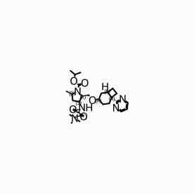 CC(C)OC(=O)N1[C@H](C)C[C@H](NS(=O)(=O)[N+](C)(C)C)[C@@H]1CO[C@@H]1CC[C@]2(c3ncccn3)CC[C@@H]2C1